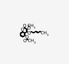 CCC=CCCOc1c(OC)c(=O)oc2cccc(OC(C)=O)c12